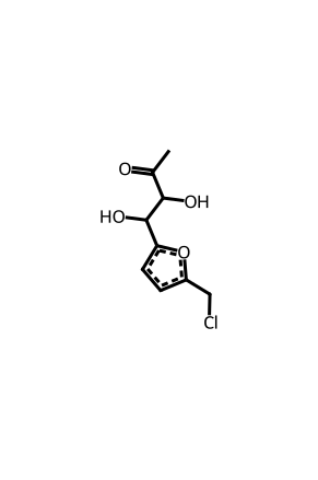 CC(=O)C(O)C(O)c1ccc(CCl)o1